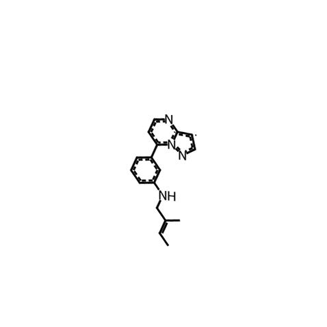 C/C=C(\C)CNc1cccc(-c2ccnc3[c]cnn23)c1